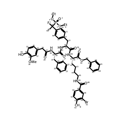 CCOP(=O)(OCC)C(F)(F)c1ccc(C[C@H](NC(=O)[C@H](Cc2ccccc2)NC(=O)Cc2ccc(O)c(OC)c2)C(=O)N[C@@H](CCCCNC(=O)c2ccc(C)c(Br)c2)C(=O)OCc2ccccc2)cc1